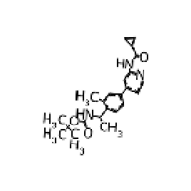 Cc1cc(-c2ccnc(NC(=O)C3CC3)c2)ccc1[C@@H](C)NC(=O)OC(C)(C)C